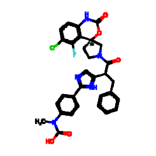 CN(C(=O)O)c1ccc(-c2ncc(C(Cc3ccccc3)C(=O)N3CC[C@@]4(C3)OC(=O)Nc3ccc(Cl)c(F)c34)[nH]2)cc1